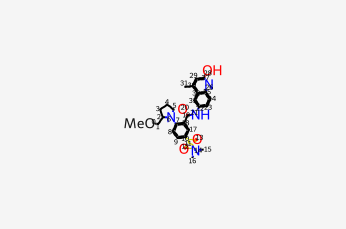 COCC1CCCN1c1ccc(S(=O)(=O)N(C)C)cc1C(=O)Nc1ccc2nc(O)cc(C)c2c1